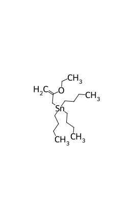 C=C([CH2][Sn]([CH2]CCC)([CH2]CCC)[CH2]CCC)OCC